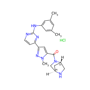 Cc1cc(C)cc(Nc2nccc(-c3cc(C(=O)N4C[C@H]5C[C@H]4CN5)n(C)n3)n2)c1.Cl